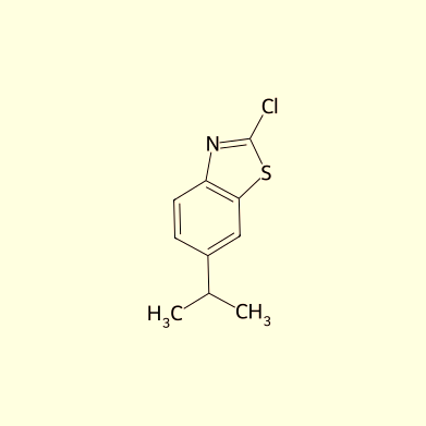 CC(C)c1ccc2nc(Cl)sc2c1